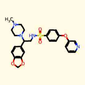 CN1CCN(C(CNS(=O)(=O)c2ccc(Oc3cccnc3)cc2)c2ccc3c(c2)OCO3)CC1